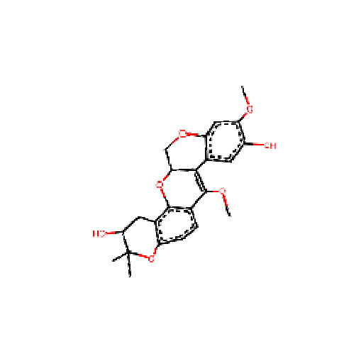 COC1=C2c3cc(O)c(OC)cc3OCC2Oc2c1ccc1c2CC(O)C(C)(C)O1